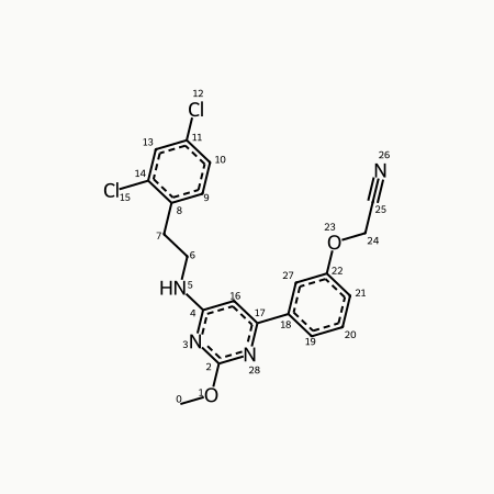 COc1nc(NCCc2ccc(Cl)cc2Cl)cc(-c2cccc(OCC#N)c2)n1